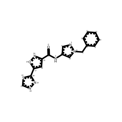 O=C(Nc1cnn(Cc2ccccc2)c1)c1cc(-c2nncs2)on1